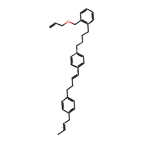 C=CCOCc1ccc[c]c1CCCCc1ccc(/C=C/CCc2ccc(C/C=C/C)cc2)cc1